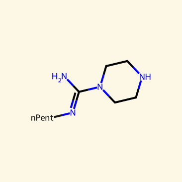 CCCCCN=C(N)N1CCNCC1